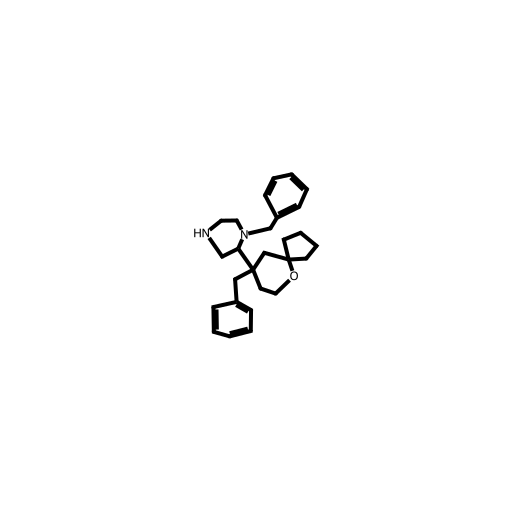 c1ccc(CN2CCNCC2C2(Cc3ccccc3)CCOC3(CCCC3)C2)cc1